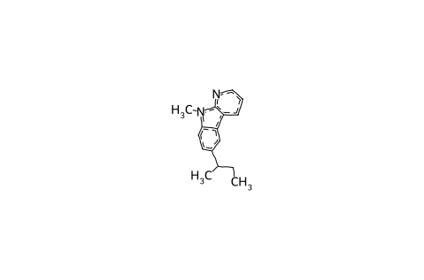 CCC(C)c1ccc2c(c1)c1cccnc1n2C